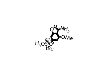 COc1cc(O[Si](C)(C)C(C)(C)C)cc2onc(N)c12